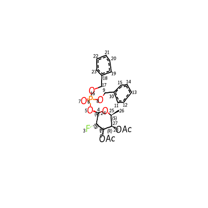 CC(=O)O[C@H]1[C@H](F)[C@@H](OP(=O)(OCc2ccccc2)OCc2ccccc2)O[C@@H](C)[C@H]1OC(C)=O